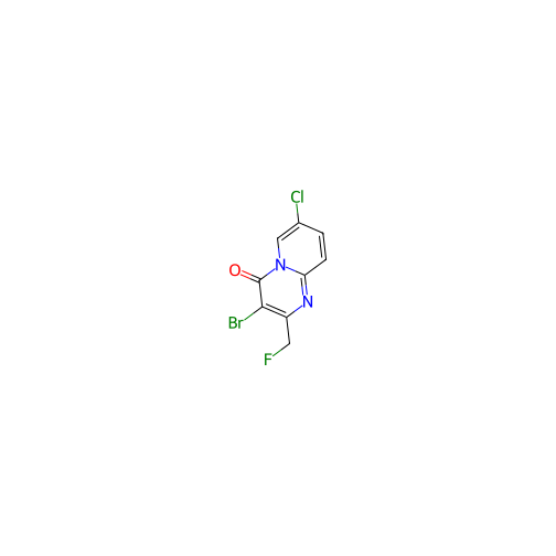 O=c1c(Br)c(CF)nc2ccc(Cl)cn12